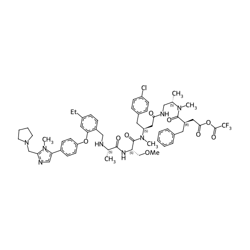 CCc1ccc(CN[C@@H](C)C(=O)N[C@@H](COC)C(=O)N(C)[C@H](CC(=O)NC[C@H](C)N(C)C(=O)[C@@H](CC(=O)OC(=O)C(F)(F)F)Cc2ccccc2)Cc2ccc(Cl)cc2)c(Oc2ccc(-c3cnc(CN4CCCC4)n3C)cc2)c1